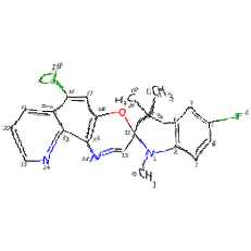 CN1c2ccc(F)cc2C(C)(C)C12C=Nc1c(cc(Cl)c3cccnc13)O2